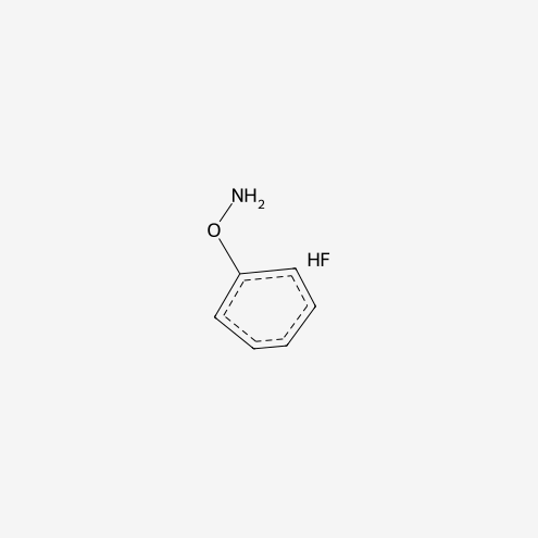 F.NOc1ccccc1